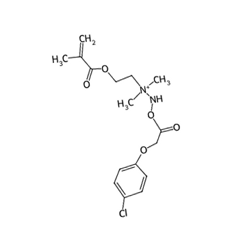 C=C(C)C(=O)OCC[N+](C)(C)NOC(=O)COc1ccc(Cl)cc1